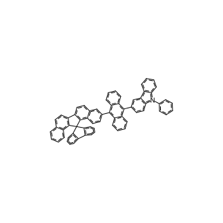 c1ccc(-n2c3ccccc3c3cc(-c4c5ccccc5c(-c5ccc6c7c(ccc6c5)-c5ccc6ccccc6c5C75c6ccccc6-c6ccccc65)c5ccccc45)ccc32)cc1